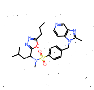 CCCc1nnc(C(CC(C)C)N(C)S(=O)(=O)c2ccc(Cn3c(C)nc4cnccc43)cc2)o1